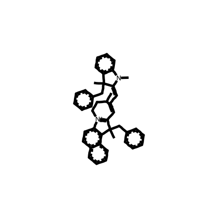 CC(C)CC[N+]1=C(/C=C/C=C2/N(C)c3ccccc3C2(C)Cc2ccccc2)C(C)(Cc2ccccc2)c2c1ccc1ccccc21